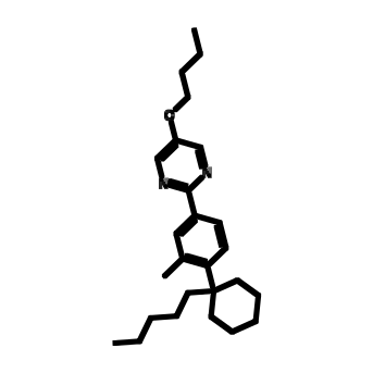 CCCCCC1(c2ccc(-c3ncc(OCCCC)cn3)cc2C)CCCCC1